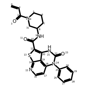 C=CC(=O)N1CCCC(NC(=O)c2sc3nccc4c3c2NC(=O)N4c2ccccc2)C1